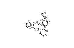 N=S=O.c1ccc(C2CCCCC2)c(C2CCCCC2)c1.c1cscn1